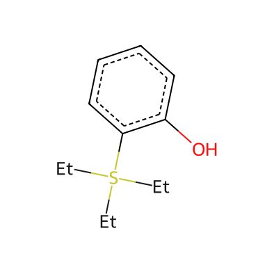 CCS(CC)(CC)c1ccccc1O